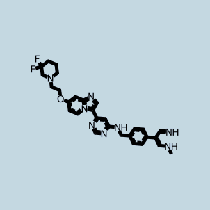 CN/C=C(\C=N)c1ccc(CNc2cc(-c3cnc4cc(OCCN5CCCC(F)(F)C5)ccn34)ncn2)cc1